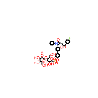 C[C@@H](CC[C@H]1C(=O)N(c2ccccc2)[C@@H]1c1ccc(-c2ccc(OS(=O)(=O)C[C@@H]3OC(CO)[C@@H](O[C@@H]4OC(CO)[C@@H](O)[C@H](O)C4O)[C@H](O)C3O)cc2)cc1O)c1ccc(F)cc1